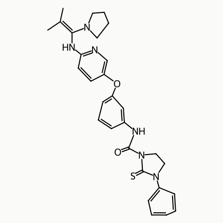 CC(C)=C(Nc1ccc(Oc2cccc(NC(=O)N3CCN(c4ccccc4)C3=S)c2)cn1)N1CCCC1